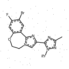 Cc1nc(-c2cn3c(n2)-c2cc(Br)c(F)cc2OCC3)n(C(C)C)n1